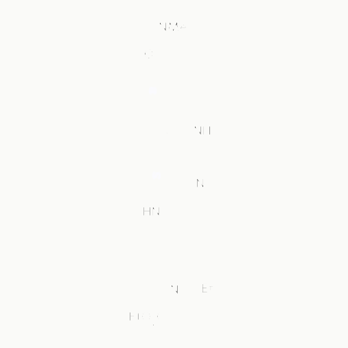 C=N/C(=C\C(=N)/C=C(\C)ONC)NCCN(CC)C(=O)OCC